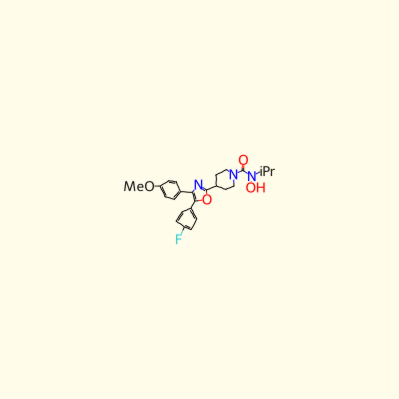 COc1ccc(-c2nc(C3CCN(C(=O)N(O)C(C)C)CC3)oc2-c2ccc(F)cc2)cc1